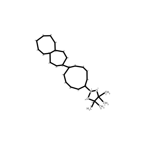 CC1(C)OB(C2CCCCC(C3CCC4CCCCCCC4CC3)CCCC2)OC1(C)C